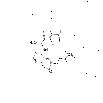 C=C(F)CCn1cc2c(N[C@H](C)c3cccc(C(F)F)c3F)ncnc2cc1=O